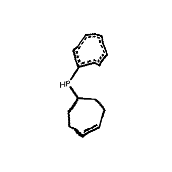 C1=CCCC(Pc2ccccc2)CC1